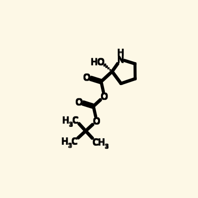 CC(C)(C)OC(=O)OC(=O)[C@]1(O)CCCN1